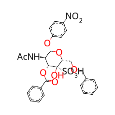 CC(=O)N[C@H]1[C@H](Oc2ccc([N+](=O)[O-])cc2)O[C@H](COCc2ccccc2)[C@](O)(S(=O)(=O)O)[C@@H]1OC(=O)c1ccccc1